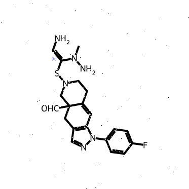 CN(N)/C(=C\N)SN1CCC2=Cc3c(cnn3-c3ccc(F)cc3)CC2(C=O)C1